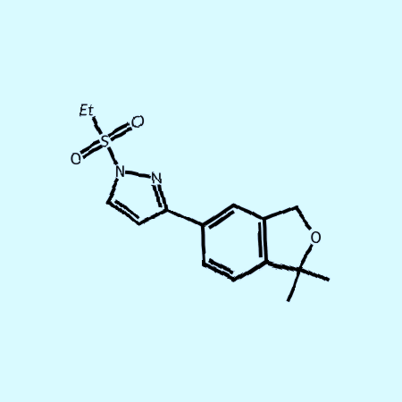 CCS(=O)(=O)n1ccc(-c2ccc3c(c2)COC3(C)C)n1